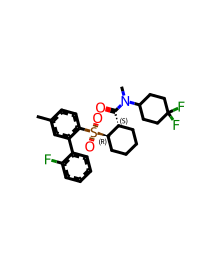 Cc1ccc(S(=O)(=O)[C@@H]2CCCC[C@H]2C(=O)N(C)C2CCC(F)(F)CC2)c(-c2ccccc2F)c1